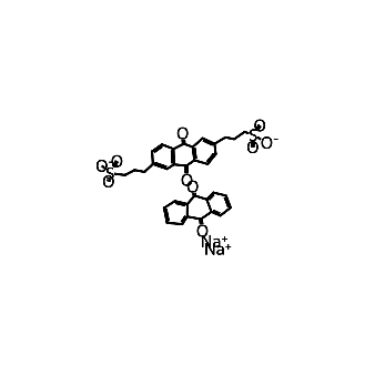 O=C1c2ccc(CCCS(=O)(=O)[O-])cc2C(=O)c2ccc(CCCS(=O)(=O)[O-])cc21.O=C1c2ccccc2C(=O)c2ccccc21.[Na+].[Na+]